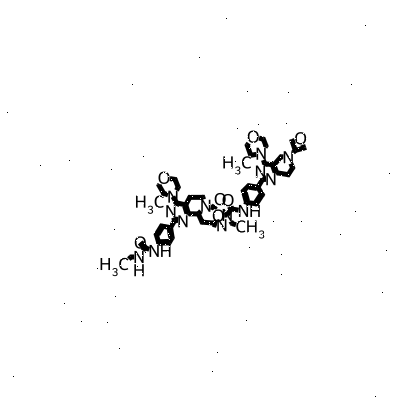 CCNC(=O)Nc1ccc(-c2nc3c(c(N4CCOC[C@@H]4C)n2)CCN(C(=O)ON(CC)C(=O)Nc2ccc(-c4nc5c(c(N6CCOCC6C)n4)CN(C4COC4)CC5)cc2)C3CC#N)cc1